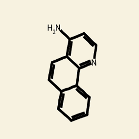 Nc1ccnc2c1ccc1ccccc12